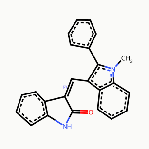 Cn1c(-c2ccccc2)c(/C=C2\C(=O)Nc3ccccc32)c2ccccc21